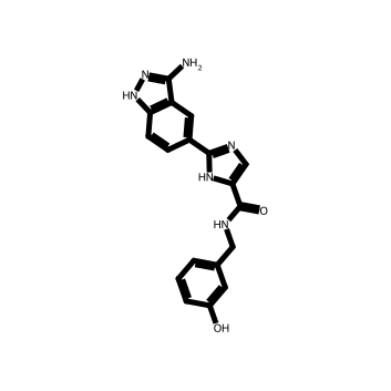 Nc1n[nH]c2ccc(-c3ncc(C(=O)NCc4cccc(O)c4)[nH]3)cc12